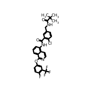 CC(C)(C)C(=O)NCc1ccc(Cl)c(C(=O)Nc2cccc3c(Oc4ccc(F)c(C(F)(F)F)c4)nccc23)c1